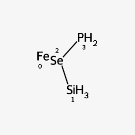 [Fe].[SiH3][Se]P